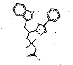 CC(C)(CC(Cc1c[nH]c2ccccc12)c1nc(-c2ccncc2)c[nH]1)OC(N)=O